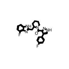 O=C(c1n[nH]cc1-c1ccc(F)cc1)N1CCCCC1Cc1nc2c(F)cccc2[nH]1